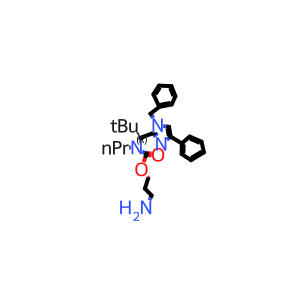 CCCN(C(=O)OCCCN)[C@@H](c1nc(-c2ccccc2)cn1Cc1ccccc1)C(C)(C)C